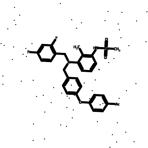 CC(=O)c1ccc(Oc2ccc(CN(Cc3ccc(F)cc3F)c3cccc(NS(C)(=O)=O)c3C)cc2)cc1